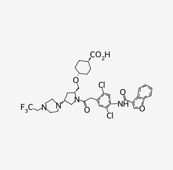 O=C(Nc1cc(Cl)c(CC(=O)N2C[C@@H](N3CCN(CC(F)(F)F)CC3)C[C@H]2CO[C@H]2CC[C@H](C(=O)O)CC2)cc1Cl)c1coc2ccccc12